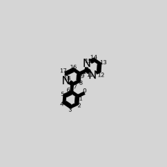 Cc1ccccc1-c1cc(-c2ncccn2)ccn1